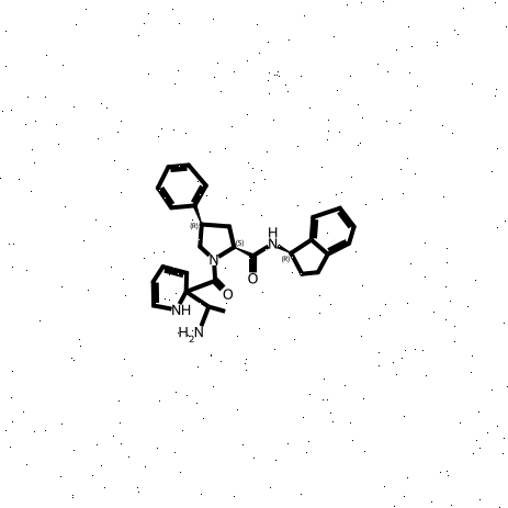 CC(N)C1(C(=O)N2C[C@@H](c3ccccc3)C[C@H]2C(=O)N[C@@H]2CCc3ccccc32)C=CC=CN1